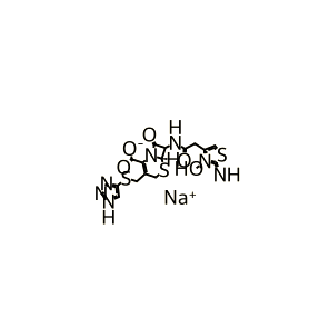 N=c1scc(CC(=O)NC2C(=O)N3C(C(=O)[O-])=C(CSc4c[nH]nn4)CS[C@@H]23)n1O.[Na+]